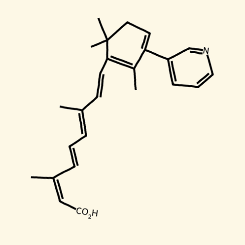 CC1=C(/C=C/C(C)=C/C=C/C(C)=C\C(=O)O)C(C)(C)CC=C1c1cccnc1